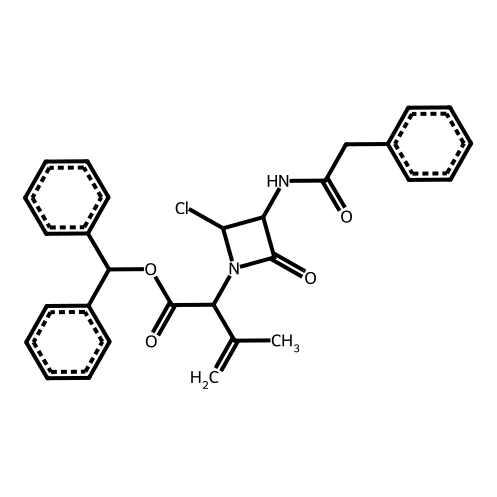 C=C(C)C(C(=O)OC(c1ccccc1)c1ccccc1)N1C(=O)C(NC(=O)Cc2ccccc2)C1Cl